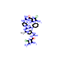 C=C(/N=C(\N=C(/N)NC1CCCCCC1)N1CCC(NC(=N)NC(=O)c2nc(Cl)c(N)nc2N)CC1)N1CCC(NC(=N)NC(=O)c2nc(Cl)c(N)nc2N)CC1